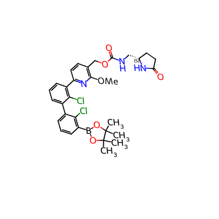 COc1nc(-c2cccc(-c3cccc(B4OC(C)(C)C(C)(C)O4)c3Cl)c2Cl)ccc1COC(=O)NC[C@@H]1CCC(=O)N1